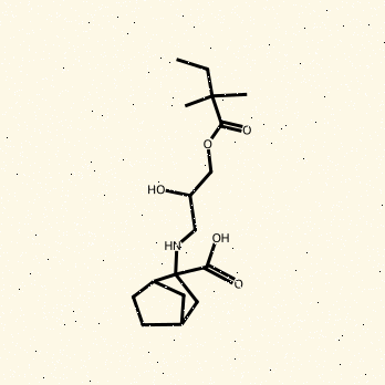 CCC(C)(C)C(=O)OCC(O)CNC1(C(=O)O)CC2CCC1C2